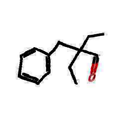 CCC([C]=O)(CC)Cc1ccccc1